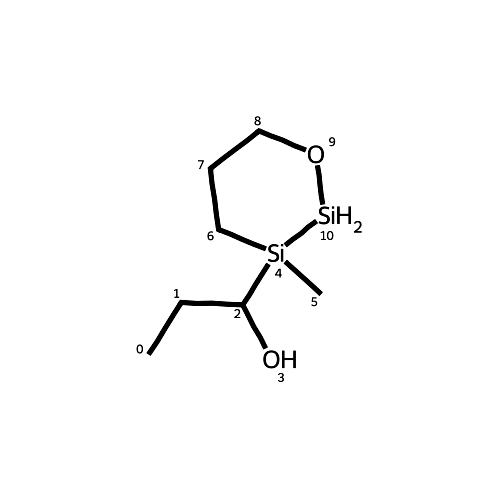 CCC(O)[Si]1(C)CCCO[SiH2]1